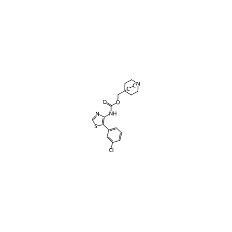 O=C(Nc1ncsc1-c1cccc(Cl)c1)OCC12CCN(CC1)CC2